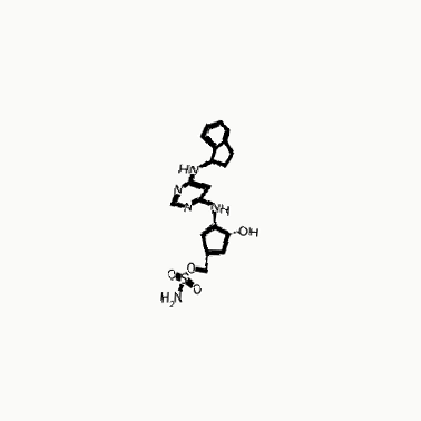 NS(=O)(=O)OC[C@@H]1C[C@@H](O)[C@H](Nc2cc(NC3CCc4ccccc43)ncn2)C1